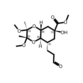 COC(=O)[C@]1(O)C[C@H](CCC=O)[C@H]2O[C@](C)(OC)[C@@](C)(OC)O[C@@H]2C1